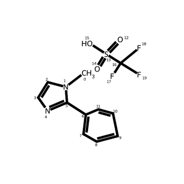 Cn1ccnc1-c1ccccc1.O=S(=O)(O)C(F)(F)F